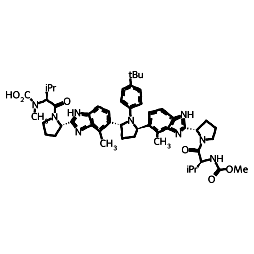 COC(=O)N[C@H](C(=O)N1CCC[C@H]1c1nc2c(C)c([C@H]3CC[C@H](c4ccc5[nH]c([C@@H]6CCCN6C(=O)[C@H](C(C)C)N(C)C(=O)O)nc5c4C)N3c3ccc(C(C)(C)C)cc3)ccc2[nH]1)C(C)C